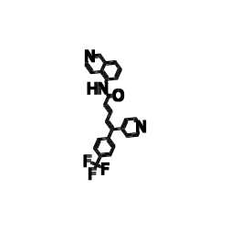 O=C(C=CC=C(c1ccncc1)c1ccc(C(F)(F)F)cc1)Nc1cccc2cnccc12